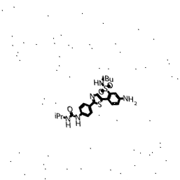 CC(C)NC(=O)Nc1ccc(-c2ncc(-c3ccc(N)cc3S(=O)(=O)NC(C)(C)C)s2)cc1